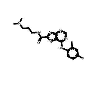 Cc1cc(F)ccc1Nc1ncnc2sc(C(=O)NCCCN(C)C)nc12